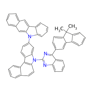 CC1(C)c2ccccc2-c2cc(-c3nc(-n4c5cc(-n6c7ccccc7c7cc8ccccc8cc76)ccc5c5c6ccccc6ccc54)nc4ccccc34)ccc21